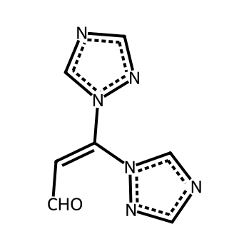 O=CC=C(n1cncn1)n1cncn1